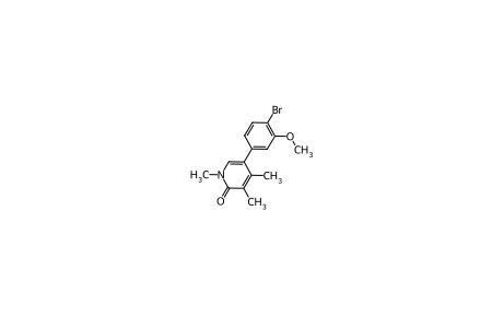 COc1cc(-c2cn(C)c(=O)c(C)c2C)ccc1Br